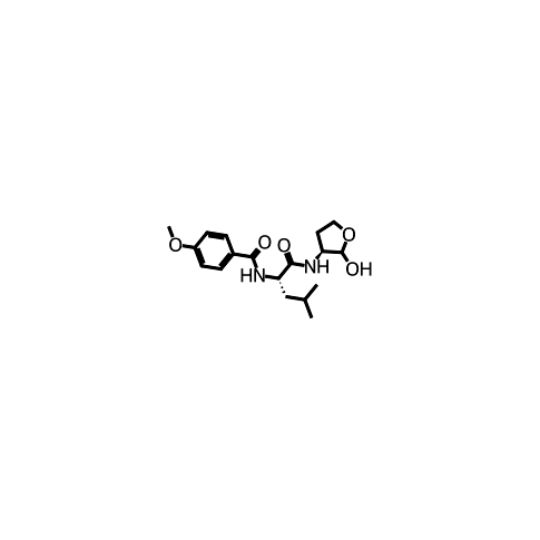 COc1ccc(C(=O)N[C@@H](CC(C)C)C(=O)N[C@H]2CCOC2O)cc1